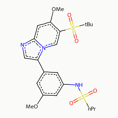 CCCS(=O)(=O)Nc1cc(OC)cc(-c2cnc3cc(OC)c(S(=O)(=O)C(C)(C)C)cn23)c1